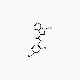 CC(=O)Oc1ccc(NC(=O)c2cn(C)c3ccccc23)c(Cl)c1